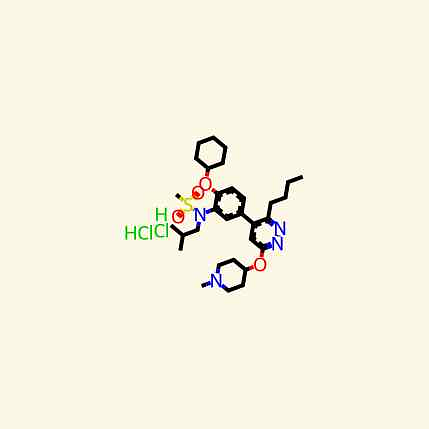 CCCCc1nnc(OC2CCN(C)CC2)cc1-c1ccc(OC2CCCCC2)c(N(CC(C)C)S(C)(=O)=O)c1.Cl.Cl